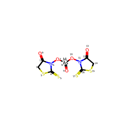 O=C1CSC(=S)N1O[AsH](=O)ON1C(=O)CSC1=S